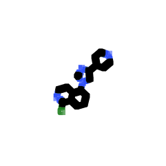 Clc1nccc2c(-n3cnc(-c4ccncc4)c3)cccc12